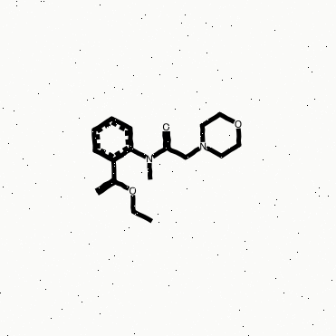 C=C(OCC)c1ccccc1N(C)C(=O)CN1CCOCC1